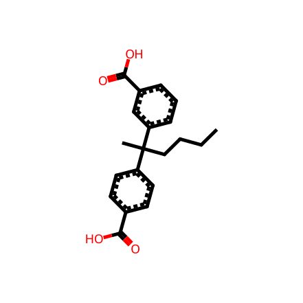 CCCCC(C)(c1ccc(C(=O)O)cc1)c1cccc(C(=O)O)c1